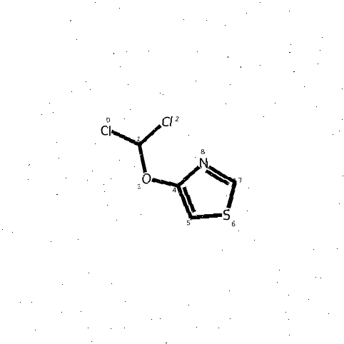 ClC(Cl)Oc1cs[c]n1